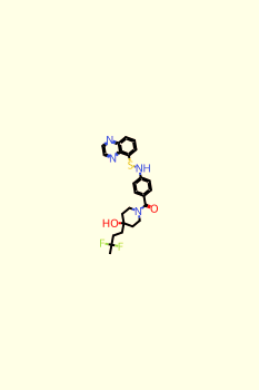 CC(F)(F)CCC1(O)CCN(C(=O)c2ccc(NSc3cccc4nccnc34)cc2)CC1